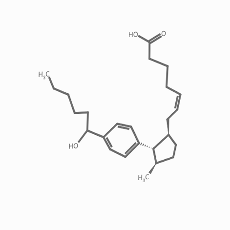 CCCCCC(O)c1ccc([C@@H]2[C@@H](C/C=C\CCCC(=O)O)CC[C@H]2C)cc1